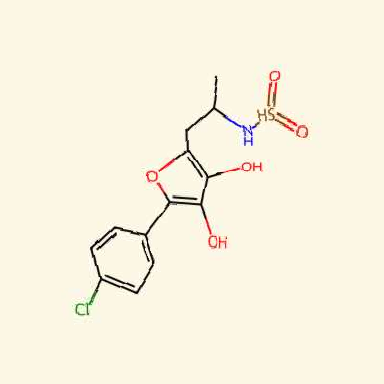 CC(Cc1oc(-c2ccc(Cl)cc2)c(O)c1O)N[SH](=O)=O